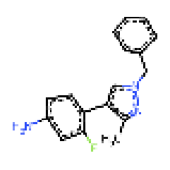 Cc1nn(Cc2ccccc2)cc1-c1ccc(N)cc1F